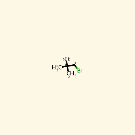 CCC(C)(C)CBr